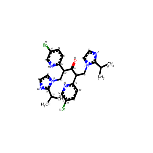 CC(C)c1nccn1CC(C(=O)C(Cn1ccnc1C(C)C)c1ccc(Br)cn1)c1ccc(Br)cn1